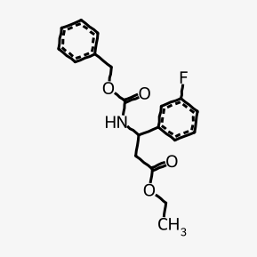 CCOC(=O)CC(NC(=O)OCc1ccccc1)c1cccc(F)c1